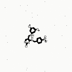 COc1cc(NCc2cnc(Cl)nc2NCc2ccc([N+](=O)[O-])cc2)cc(OC)c1